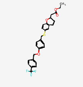 CCOC(=O)CC1CCc2cc(SCc3ccc(OCc4ccc(C(F)(F)F)cc4)cc3)ccc2O1